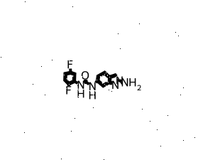 Nn1cc2ccc(NC(=O)Nc3cc(F)ccc3F)cc2n1